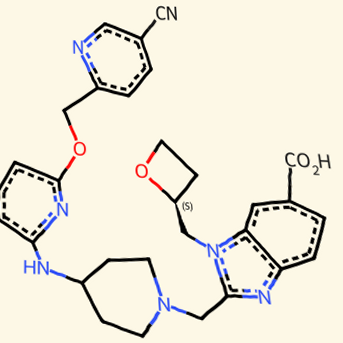 N#Cc1ccc(COc2cccc(NC3CCN(Cc4nc5ccc(C(=O)O)cc5n4C[C@@H]4CCO4)CC3)n2)nc1